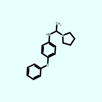 CC(Nc1ccc(Oc2ccccc2)cc1)N1CCCC1